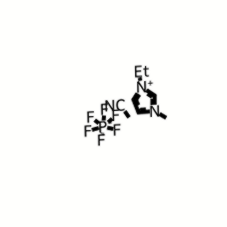 CC#N.CC[n+]1ccn(C)c1.F[P-](F)(F)(F)(F)F